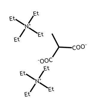 CC(C(=O)[O-])C(=O)[O-].CC[N+](CC)(CC)CC.CC[N+](CC)(CC)CC